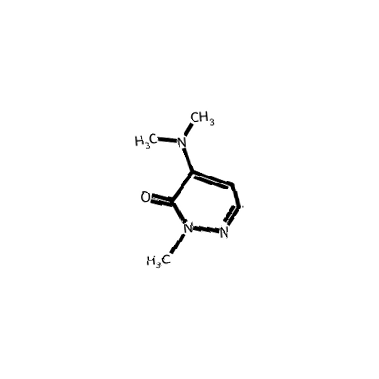 CN(C)c1c[c]nn(C)c1=O